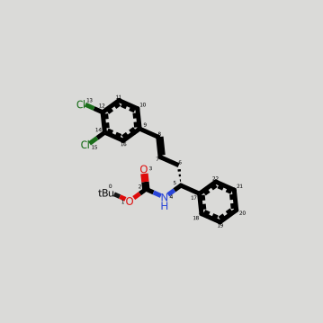 CC(C)(C)OC(=O)N[C@H](C/C=C/c1ccc(Cl)c(Cl)c1)c1ccccc1